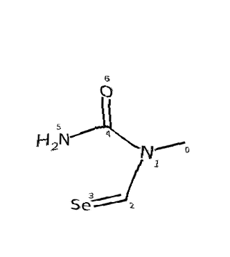 CN(C=[Se])C(N)=O